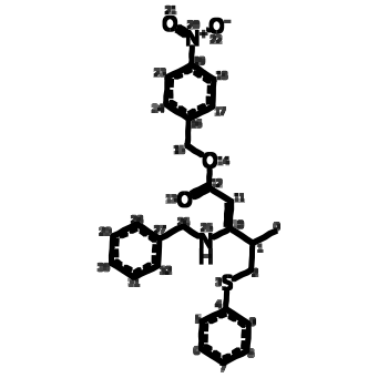 CC(CSc1ccccc1)C(=CC(=O)OCc1ccc([N+](=O)[O-])cc1)NCc1ccccc1